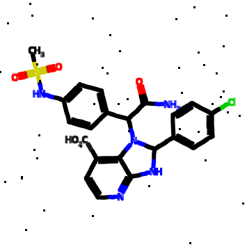 CS(=O)(=O)Nc1ccc(C(C(N)=O)N2c3c(C(=O)O)ccnc3NC2c2ccc(Cl)cc2)cc1